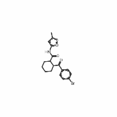 Cc1cc(NC(=O)C2CCCCC2C(=O)c2ccc(Br)cc2)on1